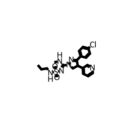 CCCNS(=O)(=O)N=C(NC)N1CC(c2cccnc2)C(c2ccc(Cl)cc2)=N1